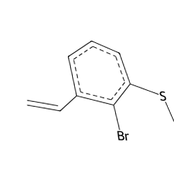 C=Cc1cccc(SC)c1Br